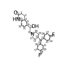 O=C1CCc2cc(C(O)CN3CCC(C(c4ccc(F)cc4)c4ccc(F)cc4)CC3)ccc2N1